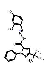 CC(C)(C)c1cc(C(=O)N/N=C/c2ccc(O)cc2O)n(-c2ccccc2)n1